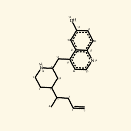 C=CCC(C)C1CCNC(Cc2ccnc3ccc(O)cc23)C1